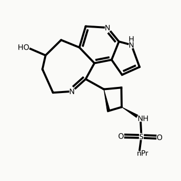 CCCS(=O)(=O)N[C@H]1C[C@@H](/C2=N/CCC(O)Cc3cnc4[nH]ccc4c32)C1